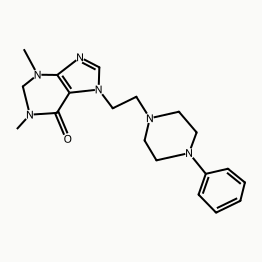 CN1CN(C)c2ncn(CCN3CCN(c4ccccc4)CC3)c2C1=O